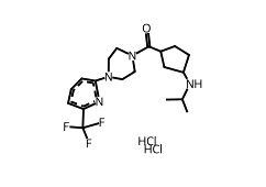 CC(C)NC1CCC(C(=O)N2CCN(c3cccc(C(F)(F)F)n3)CC2)C1.Cl.Cl